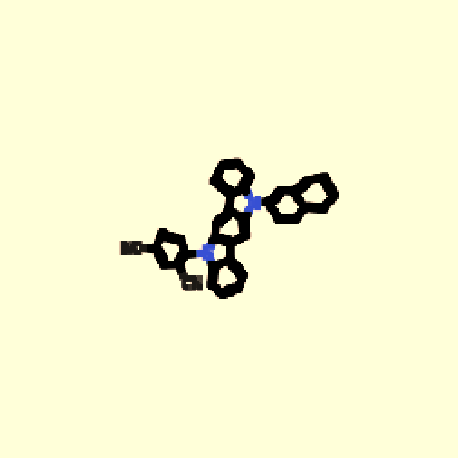 N#Cc1ccc(-n2c3ccccc3c3cc4c(cc32)c2ccccc2n4-c2ccc3ccccc3c2)c(C#N)c1